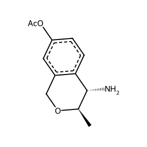 CC(=O)Oc1ccc2c(c1)CO[C@H](C)[C@H]2N